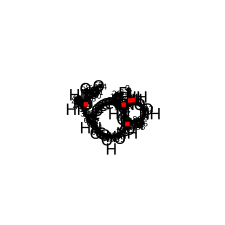 CCCNC(=O)[C@@H]1[C@@H]2CCN1C(=O)[C@@H]1Cc3cn(c4ccc(F)cc34)CCCCOCc3cc(CCNC(=O)[C@]4(C)CCCN4C(=O)[C@H](Cc4ccc(OC)cc4)NC=O)ccc3CNC(=O)CCC(=O)N[C@H](C)C(=O)NCC(=O)N[C@@H](Cc3cccc(c3)CNC(=O)CO2)C(=O)N1